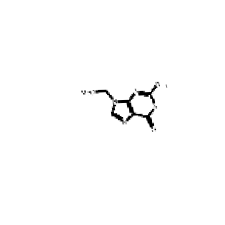 COCn1cnc2c(=O)[nH]c(N)nc21